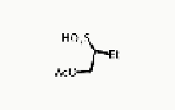 CCC(COC(C)=O)S(=O)(=O)O